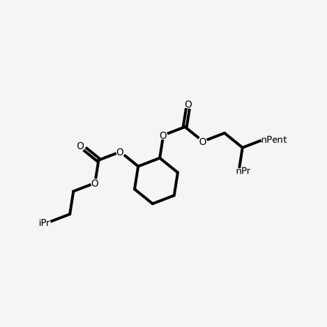 CCCCCC(CCC)COC(=O)OC1CCCCC1OC(=O)OCCC(C)C